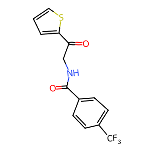 O=C(NCC(=O)c1cccs1)c1ccc(C(F)(F)F)cc1